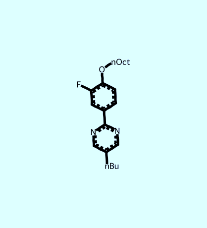 CCCCCCCCOc1ccc(-c2ncc(CCCC)cn2)cc1F